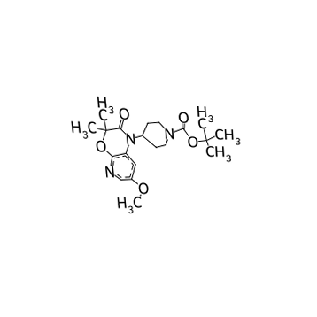 COc1cnc2c(c1)N(C1CCN(C(=O)OC(C)(C)C)CC1)C(=O)C(C)(C)O2